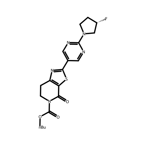 CCCCOC(=O)N1CCc2nc(-c3cnc(N4CC[C@H](F)C4)nc3)sc2C1=O